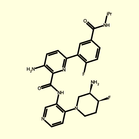 CC(C)NC(=O)c1ccc(F)c(-c2ccc(N)c(C(=O)Nc3cnccc3N3CC[C@H](F)[C@H](N)C3)n2)c1